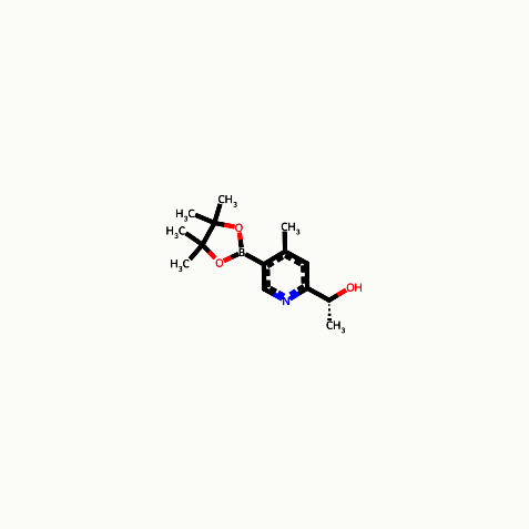 Cc1cc([C@@H](C)O)ncc1B1OC(C)(C)C(C)(C)O1